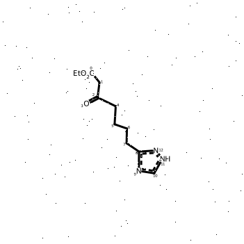 CCOC(=O)CC(=O)CCCCc1nc[nH]n1